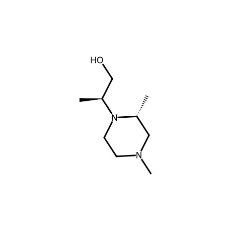 C[C@@H]1CN(C)CCN1[C@@H](C)CO